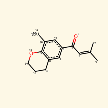 CC(C)=CC(=O)c1cc2c(c(C(C)(C)C)c1)OCCC2